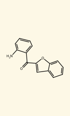 Nc1ccccc1C(=O)c1cc2ccccc2o1